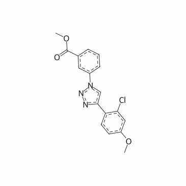 COC(=O)c1cccc(-n2cc(-c3ccc(OC)cc3Cl)nn2)c1